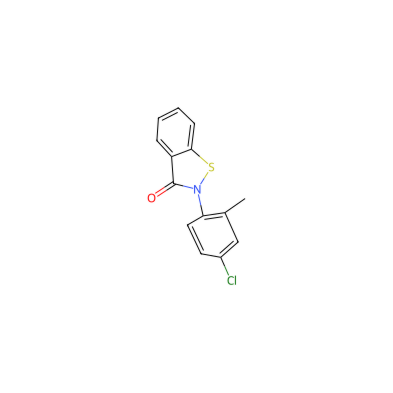 Cc1cc(Cl)ccc1-n1sc2ccccc2c1=O